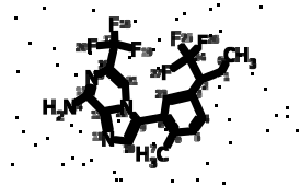 CCC(c1ccc(C)c(-c2cnc3c(N)nc(C(F)(F)F)cn23)c1)C(F)(F)F